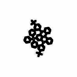 CC(C)(C)c1ccc(N2c3ccccc3B3c4ccccc4N(c4ccc(C(C)(C)C)cc4)c4cc([Si](c5ccccc5)(c5ccccc5)c5ccccc5)cc2c43)cc1